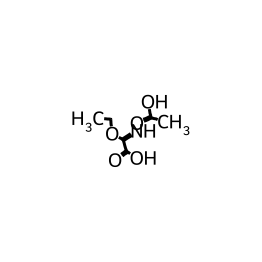 CC(=O)O.CCOC(=N)C(=O)O